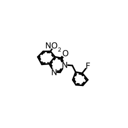 O=c1c2c([N+](=O)[O-])cccc2ncn1Cc1ccccc1F